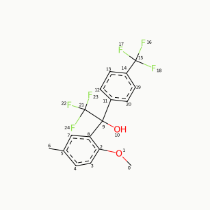 COc1ccc(C)cc1C(O)(c1ccc(C(F)(F)F)cc1)C(F)(F)F